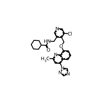 Cc1cc(-n2cncn2)c2cccc(OCc3c(Cl)cncc3CNC(=O)C3CCCCC3)c2n1